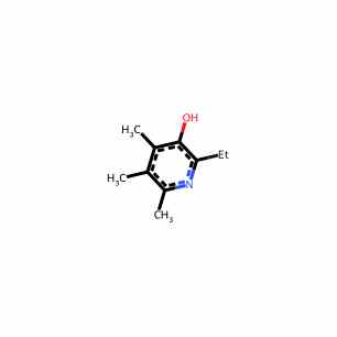 CCc1nc(C)c(C)c(C)c1O